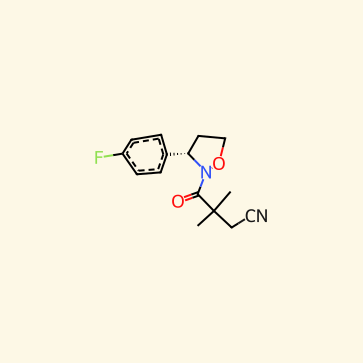 CC(C)(CC#N)C(=O)N1OCC[C@H]1c1ccc(F)cc1